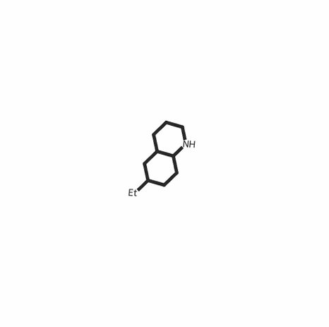 CCC1CCC2NCCCC2C1